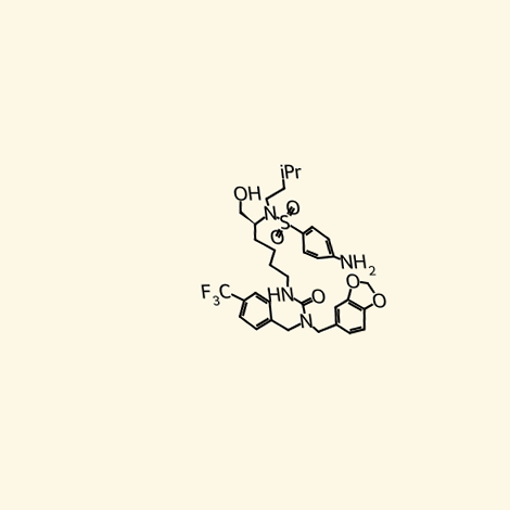 CC(C)CCN([C@H](CO)CCCCNC(=O)N(Cc1ccc(C(F)(F)F)cc1)Cc1ccc2c(c1)OCO2)S(=O)(=O)c1ccc(N)cc1